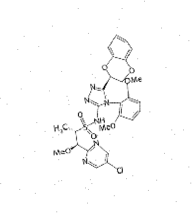 COc1cccc(OC)c1-n1c(NS(=O)(=O)[C@@H](C)[C@H](OC)c2ncc(Cl)cn2)nnc1[C@@H]1COc2ccccc2O1